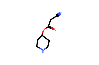 N#CCC(=O)OC1CCNCC1